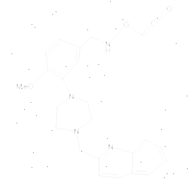 COc1ccc(CNOC=C=O)cc1N1CCN(Cc2ccc3ccccc3n2)CC1